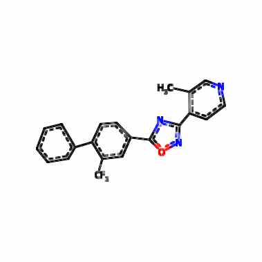 Cc1cnccc1-c1noc(-c2ccc(-c3ccccc3)c(C(F)(F)F)c2)n1